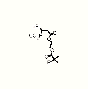 CCCC(CC(=O)OCCOC(=O)C(C)(C)CC)C(=O)O